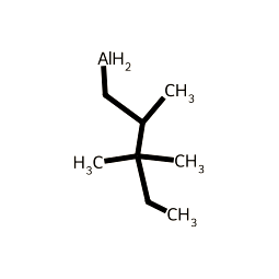 CCC(C)(C)C(C)[CH2][AlH2]